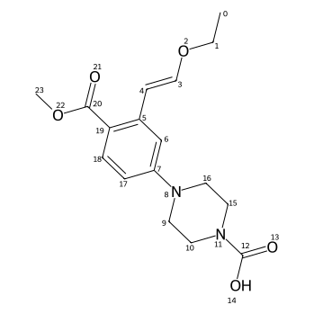 CCOC=Cc1cc(N2CCN(C(=O)O)CC2)ccc1C(=O)OC